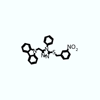 O=[N+]([O-])c1cccc(CSc2nnc(Cn3c4ccccc4c4ccccc43)n2-c2ccccc2)c1